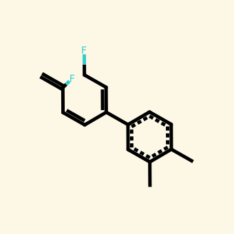 C=C(F)/C=C\C(=C/CF)c1ccc(C)c(C)c1